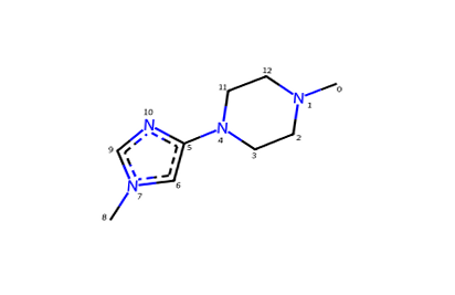 CN1CCN(c2cn(C)cn2)CC1